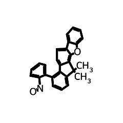 CC1(C)c2cccc(-c3ccccc3N=O)c2-c2ccc3c(oc4ccccc43)c21